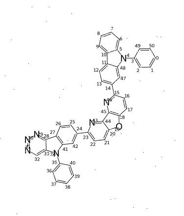 c1ccc(-n2c3ccccc3c3ccc(-c4ccc5oc6ccc(-c7ccc8c9nnncc9n(-c9ccccc9)c8c7)nc6c5n4)cc32)cc1